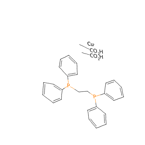 CC(=O)O.CC(=O)O.[Cu].c1ccc(P(CCP(c2ccccc2)c2ccccc2)c2ccccc2)cc1